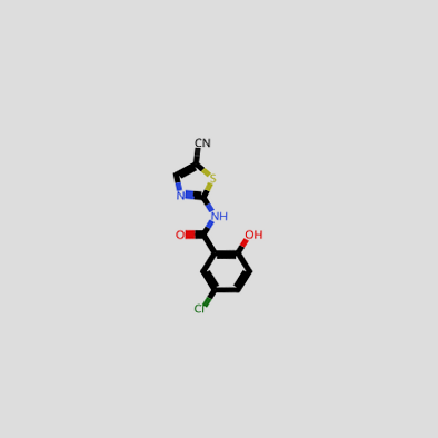 N#Cc1cnc(NC(=O)c2cc(Cl)ccc2O)s1